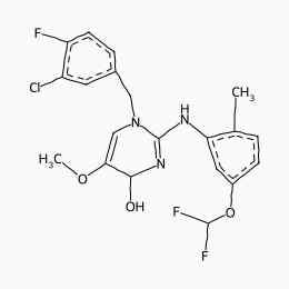 COC1=CN(Cc2ccc(F)c(Cl)c2)C(Nc2cc(OC(F)F)ccc2C)=NC1O